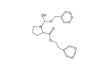 O=C(OCCc1ccccc1)C1CCCN1C(O)OCc1ccccc1